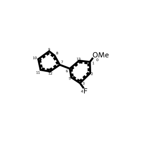 COc1cc(F)cc(-c2ccccc2)c1